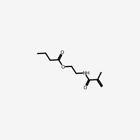 C=C(C)C(=O)NCCOC(=O)CCC